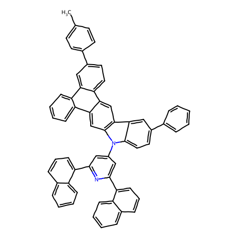 Cc1ccc(-c2ccc3c(c2)c2ccccc2c2cc4c(cc32)c2cc(-c3ccccc3)ccc2n4-c2cc(-c3cccc4ccccc34)nc(-c3cccc4ccccc34)c2)cc1